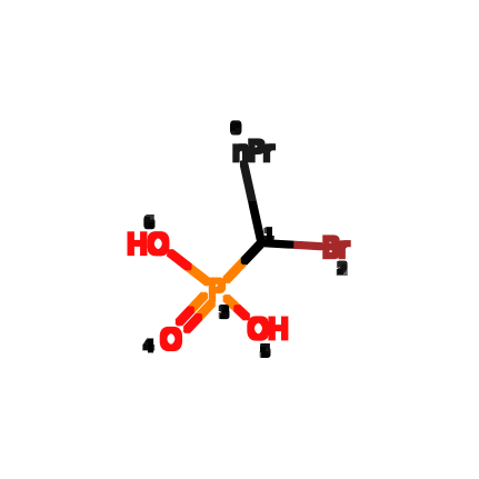 CCCC(Br)P(=O)(O)O